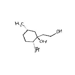 CC(C)[C@@H]1CC[C@H](C)C[C@]1(O)CCO